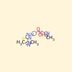 Cc1cnn(C)c1-c1nc(N2CCC(C(=O)N(O)Cc3cnn(C)c3)CC2)ncc1F